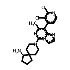 Cc1nc(N2CCC3(CCC[C@H]3N)CC2)n2ccnc2c1-c1ccnc(Cl)c1Cl